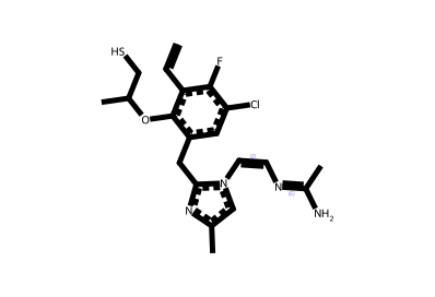 C=Cc1c(F)c(Cl)cc(Cc2nc(C)cn2/C=C\N=C(/C)N)c1OC(C)CS